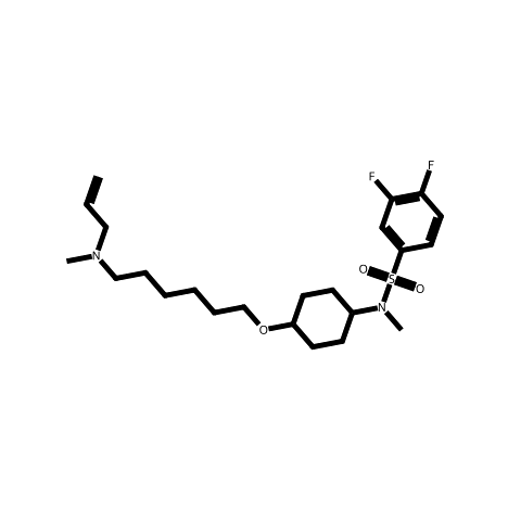 C=CCN(C)CCCCCCOC1CCC(N(C)S(=O)(=O)c2ccc(F)c(F)c2)CC1